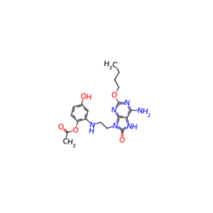 CCCCOc1nc(N)c2[nH]c(=O)n(CCNc3cc(O)ccc3OC(C)=O)c2n1